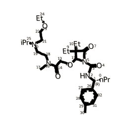 CCC[C@@H](NC(=O)N1C(=O)C(CC)(CC)C1OCC(=O)N(C)CCN(CCOCC)C(C)C)c1ccc(C)cc1